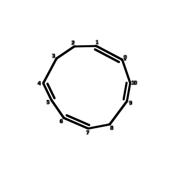 [C]1=C\CC/C=C\C=C/C\C=C/1